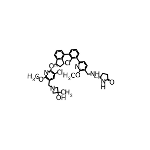 COc1nc(-c2cccc(-c3cccc4c3CC[C@@H]4Oc3nc(OC)c(CN4CC(C)(O)C4)cc3Cl)c2Cl)ccc1CNC[C@@H]1CCC(=O)N1